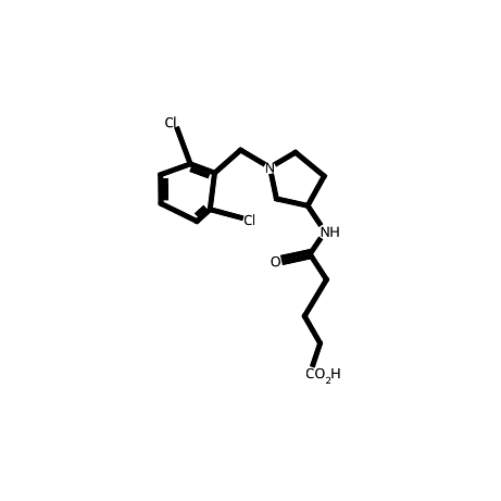 O=C(O)CCCC(=O)NC1CCN(Cc2c(Cl)cccc2Cl)C1